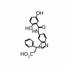 O=C(O)CC(c1ccccc1)n1cnc2ccc(NC(=O)c3cc(O)ccc3O)cc21